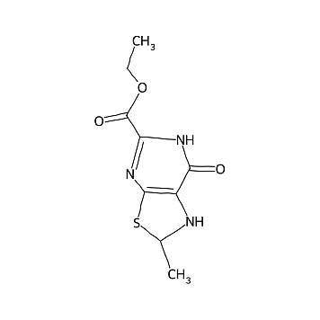 CCOC(=O)c1nc2c(c(=O)[nH]1)NC(C)S2